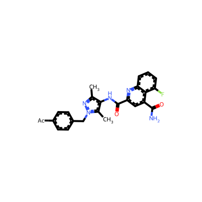 CC(=O)c1ccc(Cn2nc(C)c(NC(=O)c3cc(C(N)=O)c4c(F)cccc4n3)c2C)cc1